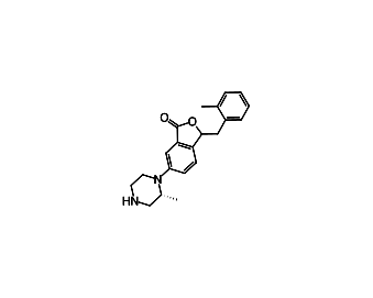 Cc1ccccc1CC1OC(=O)c2cc(N3CCNC[C@H]3C)ccc21